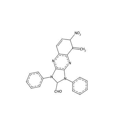 C=C1c2nc3c(nc2C=CC1[N+](=O)[O-])N(c1ccccc1)C(C=O)N3c1ccccc1